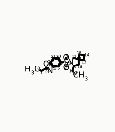 CCc1nc2cc(S(=O)(=O)N3CC4(CCC4)CC3CC)ccc2o1